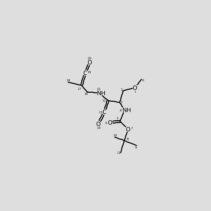 COCC(NC(=O)OC(C)(C)C)C(=C=O)NCC(C)=C=O